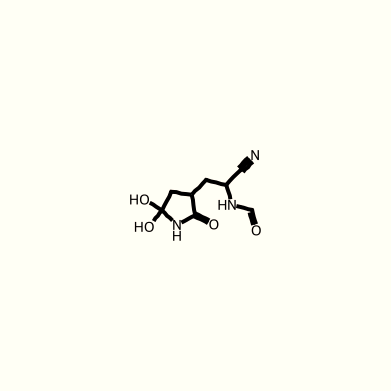 N#CC(CC1CC(O)(O)NC1=O)NC=O